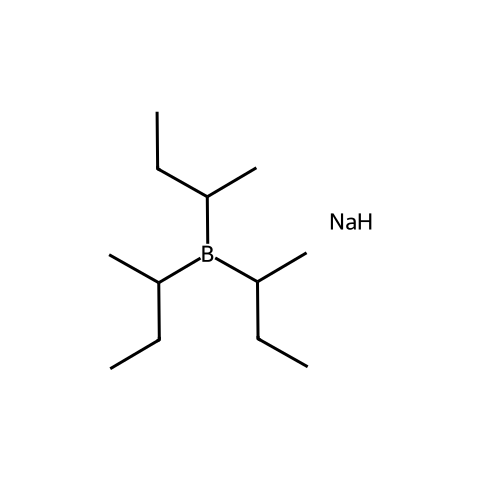 CCC(C)B(C(C)CC)C(C)CC.[NaH]